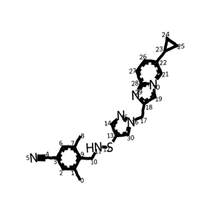 Cc1cc(C#N)cc(C)c1CNSc1cnn(Cc2cn3cc(C4CC4)ccc3n2)c1